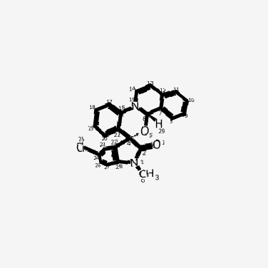 CN1C(=O)[C@@]2(O[C@H]3c4ccccc4C=CN3c3ccccc32)c2cc(Cl)ccc21